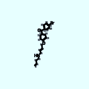 C=CCCNCC=CCOc1ccc(C(=O)c2ccc(Br)cc2)cc1